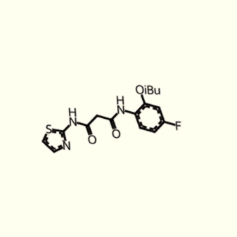 CC(C)COc1cc(F)ccc1NC(=O)CC(=O)Nc1nccs1